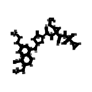 C=CC1C[C@]1(NC(=O)[C@@H]1C[C@@H](Oc2cc(OCC)nc3c(Br)c(OC)ccc23)CN1)C(=O)NS(=O)(=O)C1CC1